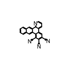 N#Cc1cc2c3cccnc3c3cc4ccccc4cc3c2c(C#N)c1C#N